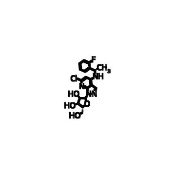 C[C@H](Nc1cc(Cl)nc2c1cnn2C1O[C@H](CO)[C@@H](O)[C@H]1O)c1ccccc1F